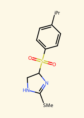 CSC1=NC(S(=O)(=O)c2ccc(C(C)C)cc2)CN1